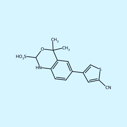 CC1(C)OC(S(=O)(=O)O)Nc2ccc(-c3csc(C#N)c3)cc21